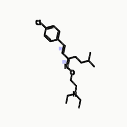 CCN(CC)CCO/N=C(/C=C/c1ccc(Cl)cc1)CCC(C)C